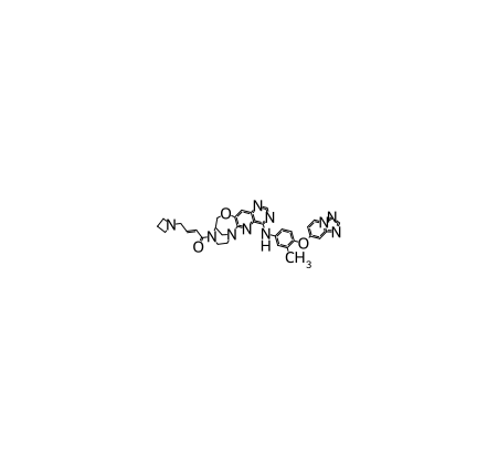 Cc1cc(Nc2ncnc3cc4c(nc23)N2CCN(C(=O)/C=C/CN3CCC3)C(CO4)C2)ccc1Oc1ccn2ncnc2c1